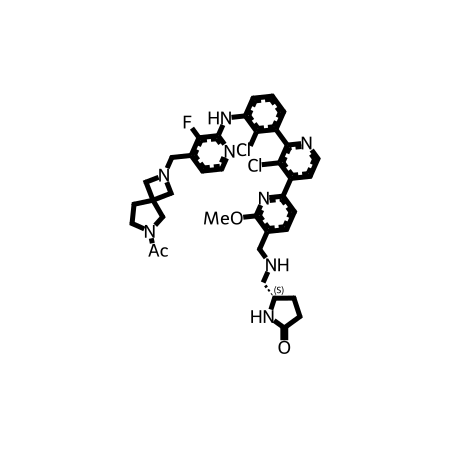 COc1nc(-c2ccnc(-c3cccc(Nc4nccc(CN5CC6(CCN(C(C)=O)C6)C5)c4F)c3Cl)c2Cl)ccc1CNC[C@@H]1CCC(=O)N1